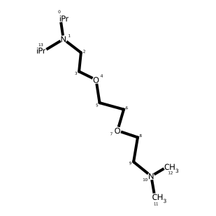 CC(C)N(CCOCCOCCN(C)C)C(C)C